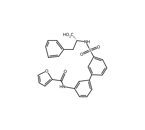 O=C(Nc1cccc(-c2cccc(S(=O)(=O)N[C@H](Cc3ccccc3)C(=O)O)c2)c1)c1ccco1